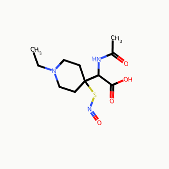 CCN1CCC(SN=O)(C(NC(C)=O)C(=O)O)CC1